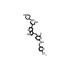 N=C/C(=C\NC1CCNCC1)c1cnc2[nH]cc(Cc3ccc(NCc4ccc(C(F)(F)F)nc4)nc3F)c2c1